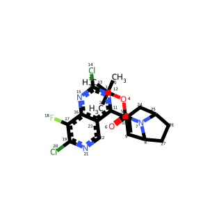 CC(C)(C)OC(=O)N1C2C=C(c3nc(Cl)nc4c(F)c(Cl)ncc34)CC1CC2